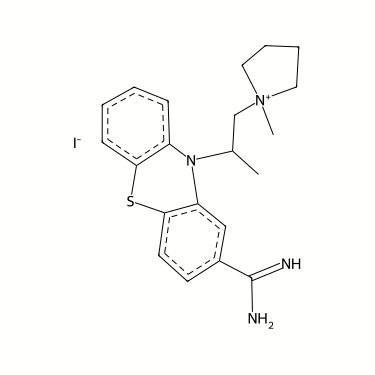 CC(C[N+]1(C)CCCC1)N1c2ccccc2Sc2ccc(C(=N)N)cc21.[I-]